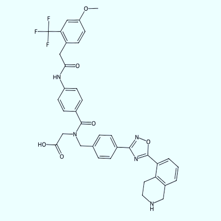 COc1ccc(CC(=O)Nc2ccc(C(=O)N(CC(=O)O)Cc3ccc(-c4noc(-c5cccc6c5CCNC6)n4)cc3)cc2)c(C(F)(F)F)c1